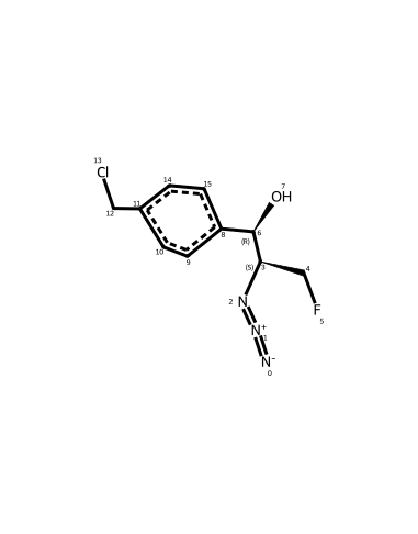 [N-]=[N+]=N[C@H](CF)[C@H](O)c1ccc(CCl)cc1